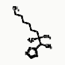 CCCCCCCC(C)(C)C(C)c1cncs1